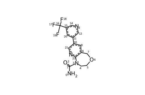 NC(=O)N1CCOCc2cc(-c3cncc(C(F)(F)F)c3)cnc21